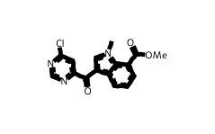 COC(=O)c1cccc2c(C(=O)c3cc(Cl)ncn3)cn(C)c12